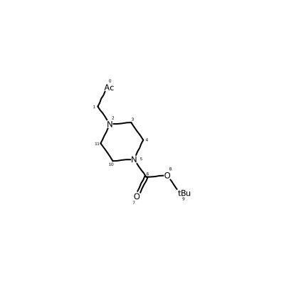 CC(=O)CN1CCN(C(=O)OC(C)(C)C)CC1